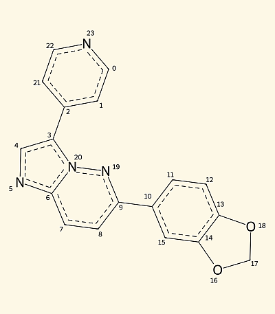 c1cc(-c2cnc3ccc(-c4ccc5c(c4)OCO5)nn23)ccn1